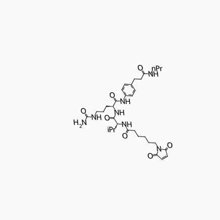 CCCNC(=O)CCc1ccc(NC(=O)[C@H](CCCNC(N)=O)NC(=O)[C@@H](NC(=O)CCCCCN2C(=O)C=CC2=O)C(C)C)cc1